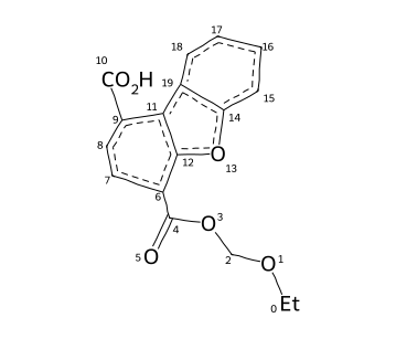 CCOCOC(=O)c1ccc(C(=O)O)c2c1oc1ccccc12